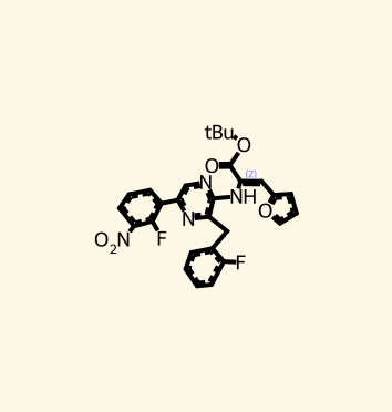 CC(C)(C)OC(=O)/C(=C/c1ccco1)Nc1ncc(-c2cccc([N+](=O)[O-])c2F)nc1Cc1ccccc1F